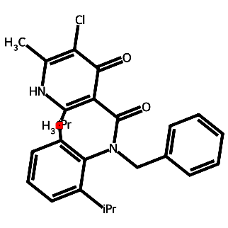 Cc1[nH]c(C)c(C(=O)N(Cc2ccccc2)c2c(C(C)C)cccc2C(C)C)c(=O)c1Cl